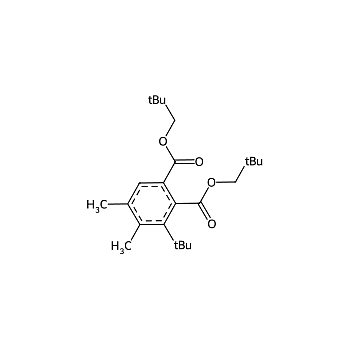 Cc1cc(C(=O)OCC(C)(C)C)c(C(=O)OCC(C)(C)C)c(C(C)(C)C)c1C